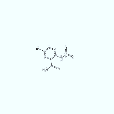 NC(=O)c1cc(Br)ccc1N[SH](=O)=O